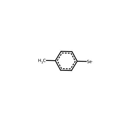 Cc1ccc([Se])cc1